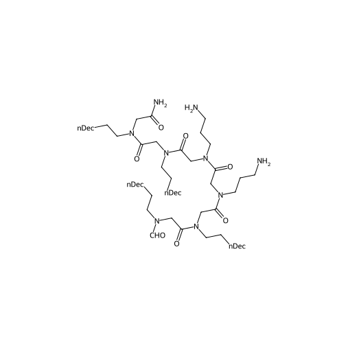 CCCCCCCCCCCCN(C=O)CC(=O)N(CCCCCCCCCCCC)CC(=O)N(CCCN)CC(=O)N(CCCN)CC(=O)N(CCCCCCCCCCCC)CC(=O)N(CCCCCCCCCCCC)CC(N)=O